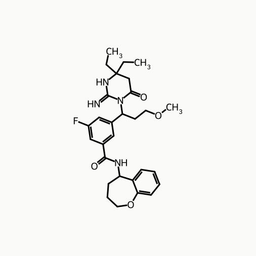 CCC1(CC)CC(=O)N(C(CCOC)c2cc(F)cc(C(=O)NC3CCCOc4ccccc43)c2)C(=N)N1